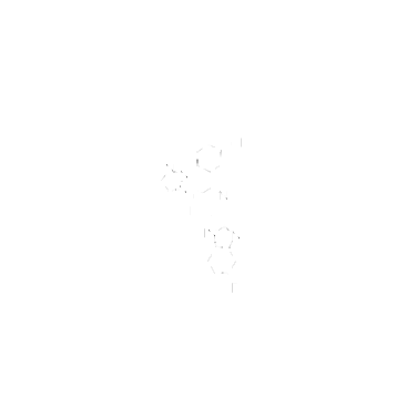 Cc1cc(C(=O)N2CCCC2(C)c2nc3c(F)c(F)ccc3[nH]2)c(-n2nccn2)cc1C